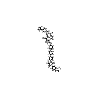 Cc1ncsc1-c1ccc(CNC(=O)[C@@H]2CCCN2C(=O)[C@H](C(C)C)n2cc(OC3CCN(c4ccc(-c5ccc(N6C(=S)N(c7ccc(C#N)c(C(F)(F)F)c7)C(=O)C6(C)C)cc5)cn4)CC3)cn2)cc1